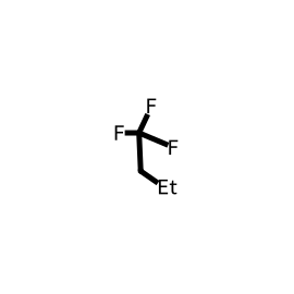 CCCC(F)(F)F